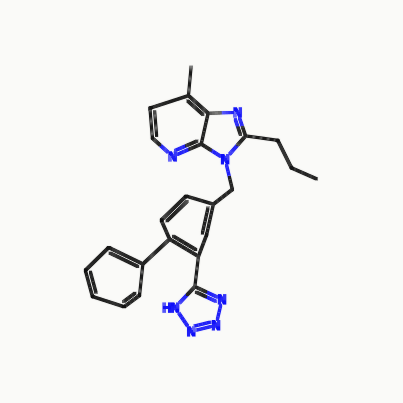 CCCc1nc2c(C)ccnc2n1Cc1ccc(-c2ccccc2)c(-c2nnn[nH]2)c1